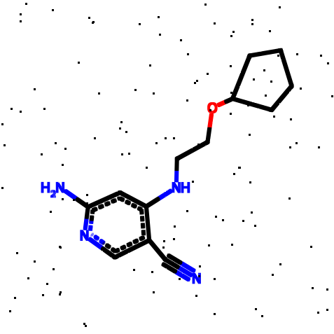 N#Cc1cnc(N)cc1NCCOC1CCCC1